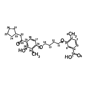 Cc1ccc(C(=O)O)cc1OCCCCOc1ccc(C(=O)CC2CCCC2)c(O)c1C